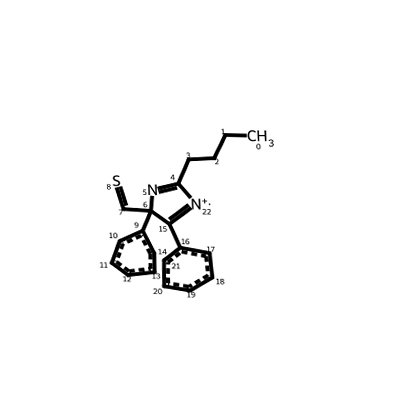 CCCCC1=NC(C=S)(c2ccccc2)C(c2ccccc2)=[N+]1